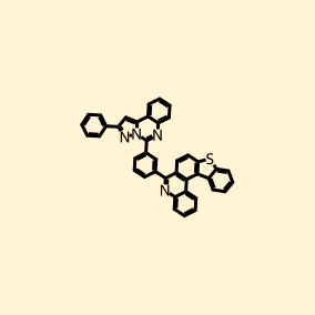 c1ccc(-c2cc3c4ccccc4nc(-c4cccc(-c5nc6ccccc6c6c5ccc5sc7ccccc7c56)c4)n3n2)cc1